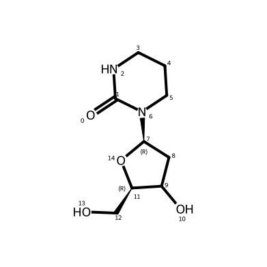 O=C1NCCCN1[C@H]1CC(O)[C@@H](CO)O1